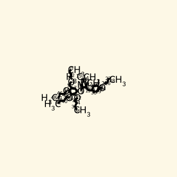 CCCCOCC1=C[C@@H](Oc2nn(C(C)C)c(C)c2Cc2ccc(OCCCC)cc2)[C@H](OCCCC)[C@@H](OCCCC)[C@@H]1OCCCC